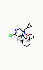 CO[C@]1(c2ccnc(Cl)c2)[C@@H]2CCC[C@H]1CN(CC1CC1)C2